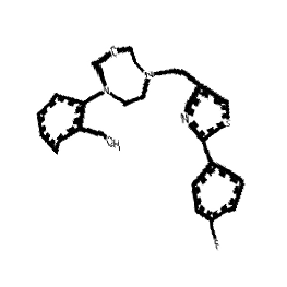 Oc1ccccc1N1CCCN(Cc2csc(-c3ccc(F)cc3)n2)CC1